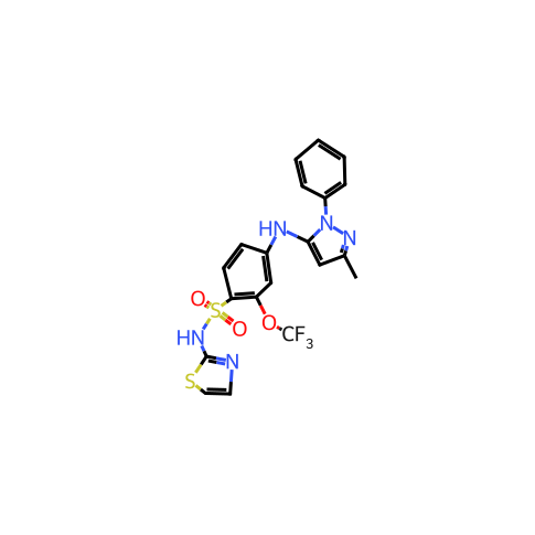 Cc1cc(Nc2ccc(S(=O)(=O)Nc3nccs3)c(OC(F)(F)F)c2)n(-c2ccccc2)n1